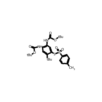 Cc1ccc(S(=O)(=O)Sc2cc(NC(=O)OC(C)(C)C)c(NC(=O)OC(C)(C)C)cc2C(C)(C)C)cc1